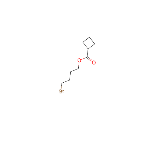 O=C(OCCCCBr)C1CCC1